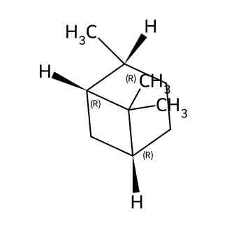 C[C@@H]1CC[C@@H]2C[C@H]1C2(C)C